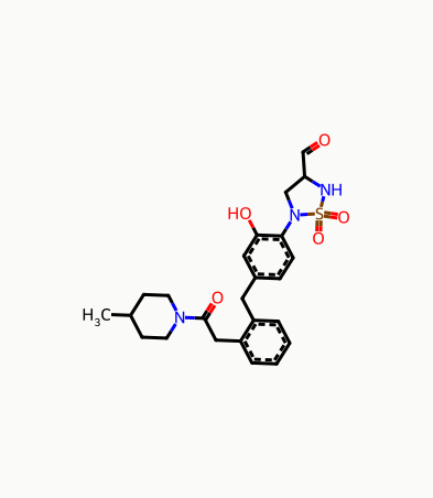 CC1CCN(C(=O)Cc2ccccc2Cc2ccc(N3CC(C=O)NS3(=O)=O)c(O)c2)CC1